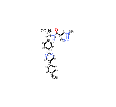 CC(C)N/C=C(\C=N)C(=O)NC(Cc1ccc(-c2ncc(-c3ccc(C(C)(C)C)cc3)cn2)cc1)C(=O)O